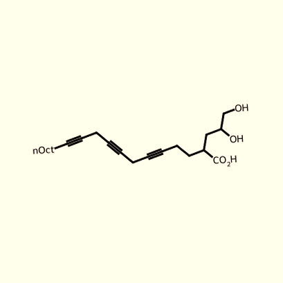 CCCCCCCCC#CCC#CCC#CCCC(CC(O)CO)C(=O)O